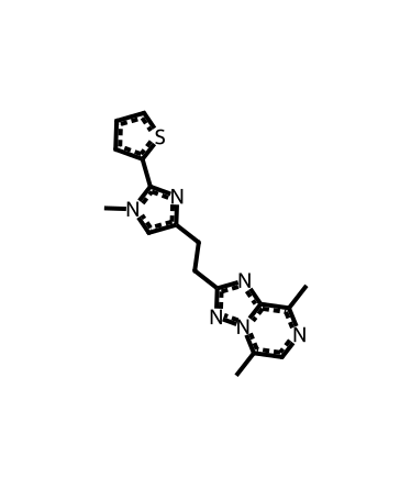 Cc1ncc(C)n2nc(CCc3cn(C)c(-c4cccs4)n3)nc12